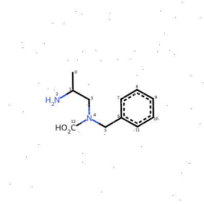 CC(N)CN(Cc1ccccc1)C(=O)O